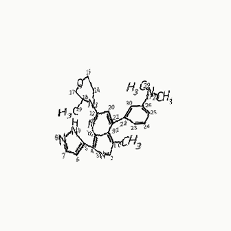 Cc1cnc(-c2ccn[nH]2)c2nc(N3CCOCC3C)cc(-c3cccc(N(C)C)c3)c12